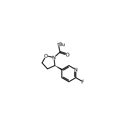 CC(C)(C)C(=O)N1OCC[C@@H]1c1ccc(F)nc1